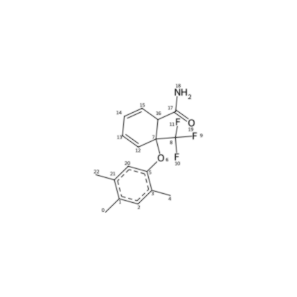 Cc1cc(C)c(OC2(C(F)(F)F)C=CC=CC2C(N)=O)cc1C